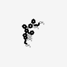 C=C/C=C\C=C(/C)N(c1ccccc1)c1ccc(-n2c3ccccc3c3cc(C4=C(C)C5=C(CC4)C/C(=C\C=C/C=C)C5(C)C)c(Cc4ccccc4)cc32)cc1